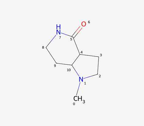 CN1CCC2C(=O)NCCC21